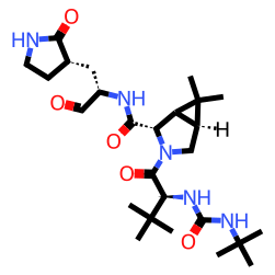 CC(C)(C)NC(=O)N[C@H](C(=O)N1C[C@H]2C([C@H]1C(=O)N[C@H](C=O)C[C@@H]1CCNC1=O)C2(C)C)C(C)(C)C